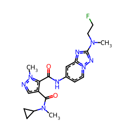 CN(CCF)c1nc2cc(NC(=O)c3c(C(=O)N(C)C4CC4)cnn3C)ccn2n1